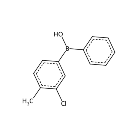 Cc1ccc(B(O)c2ccccc2)cc1Cl